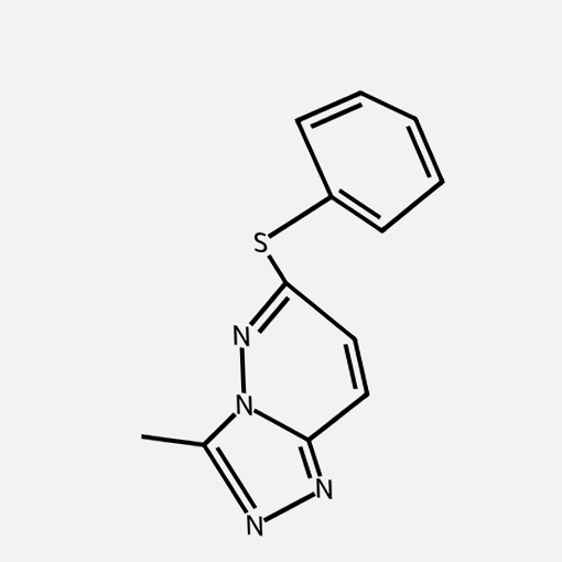 Cc1nnc2ccc(Sc3ccccc3)nn12